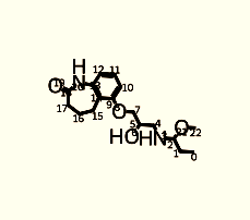 CCC(NCC(O)COc1cccc2c1CCCC(=O)N2)OC